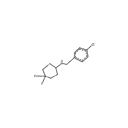 FC1(F)CCC(NCc2ccc(Cl)cc2)CC1